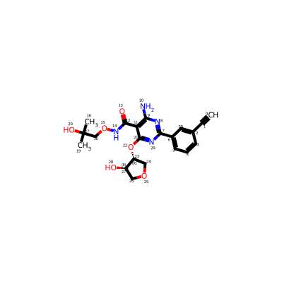 C#Cc1cccc(-c2nc(N)c(C(=O)NOCC(C)(C)O)c(O[C@@H]3COC[C@H]3O)n2)c1